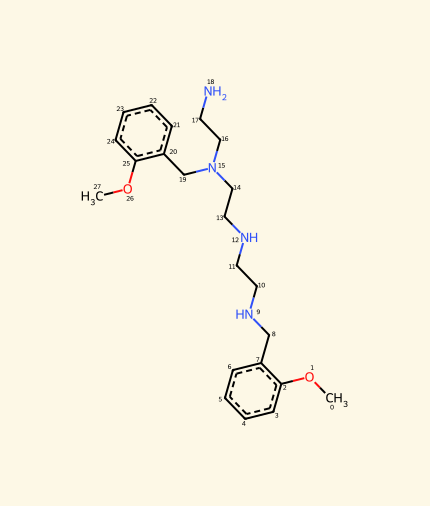 COc1ccccc1CNCCNCCN(CCN)Cc1ccccc1OC